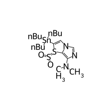 CCC[CH2][Sn]([CH2]CCC)([CH2]CCC)[C]1=Cn2cnc(N(C)C)c2S1=S(=O)=O